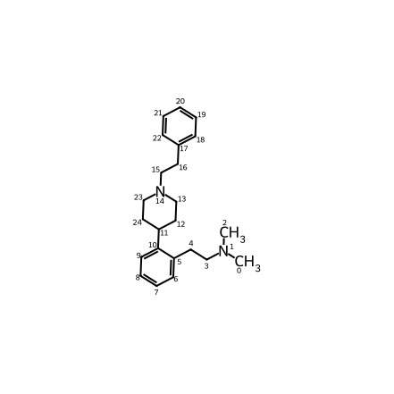 CN(C)CCc1ccccc1C1CCN(CCc2ccccc2)CC1